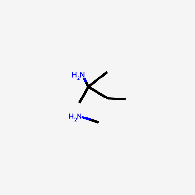 CCC(C)(C)N.CN